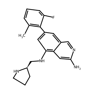 Cc1cccc(F)c1-c1cc(NC[C@H]2CCCN2)c2cc(N)ncc2c1